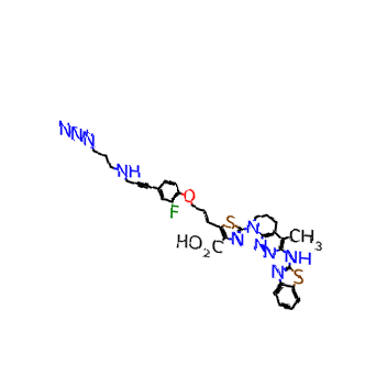 Cc1c(Nc2nc3ccccc3s2)nnc2c1CCCN2c1nc(C(=O)O)c(CCCOc2ccc(C#CCNCCCN=[N+]=[N-])cc2F)s1